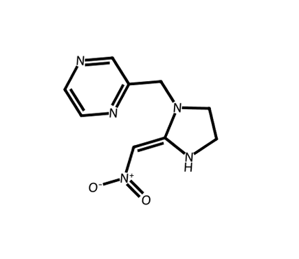 O=[N+]([O-])C=C1NCCN1Cc1cnccn1